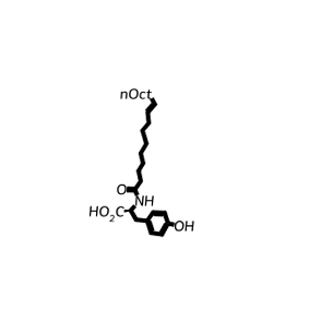 CCCCCCCC/C=C/CCCCCCCC(=O)N[C@@H](Cc1ccc(O)cc1)C(=O)O